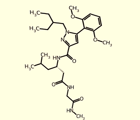 CCC(CC)Cn1nc(C(=O)N[C@H](CC(=O)NCC(=O)NC)CC(C)C)cc1-c1c(OC)cccc1OC